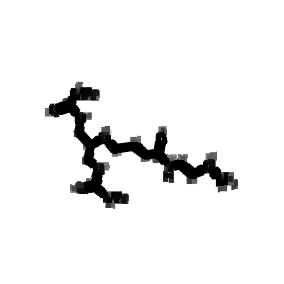 CNC(=O)OCC(COC(=O)NC)OCCCC(=O)NCCON